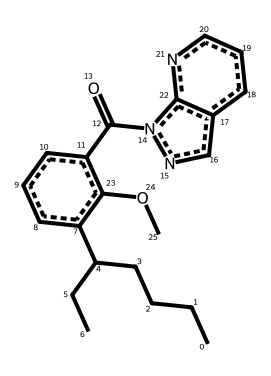 CCCCC(CC)c1cccc(C(=O)n2ncc3cccnc32)c1OC